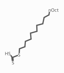 CCCCCCCCCCCCCCCCCCSC(=S)S